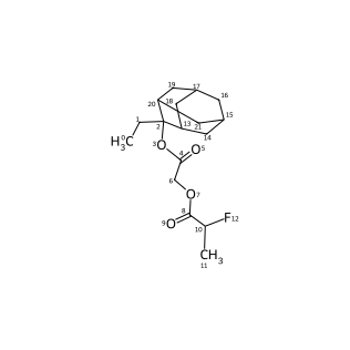 CCC1(OC(=O)COC(=O)C(C)F)C2CC3CC(C2)CC1C3